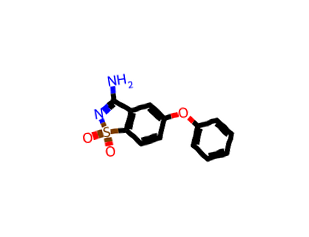 NC1=NS(=O)(=O)c2ccc(Oc3ccccc3)cc21